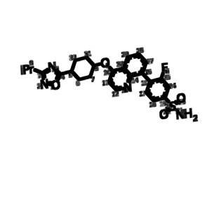 CC(C)c1noc(C2CCC(Oc3ccnc4c(-c5ccc(S(N)(=O)=O)cc5F)cccc34)CC2)n1